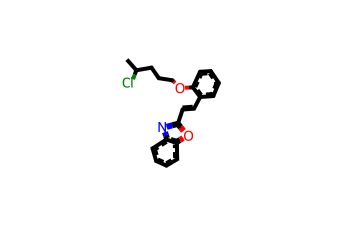 CC(Cl)CCCOc1ccccc1/C=C/c1nc2ccccc2o1